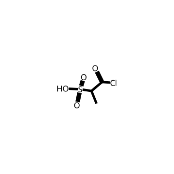 CC(C(=O)Cl)S(=O)(=O)O